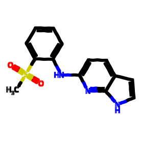 CS(=O)(=O)c1ccccc1Nc1ccc2cc[nH]c2n1